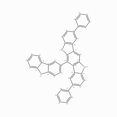 c1ccc(-c2ccc3oc4c(-c5ccc6oc7ccccc7c6c5)c5c(cc4c3c2)oc2ccc(-c3ccccc3)cc25)cc1